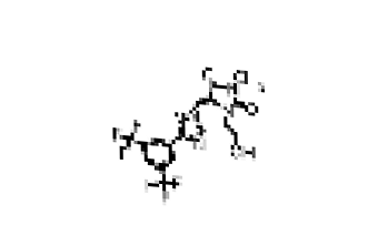 CN1C(=O)C(=Cn2cnc(-c3cc(C(F)(F)F)cc(C(F)(F)F)c3)n2)N(CCO)C1=O